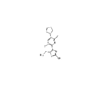 CCc1sc(C)nc1-c1cc(F)c(N2CCCC2)cc1F